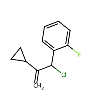 C=C(C1CC1)C(Cl)c1ccccc1F